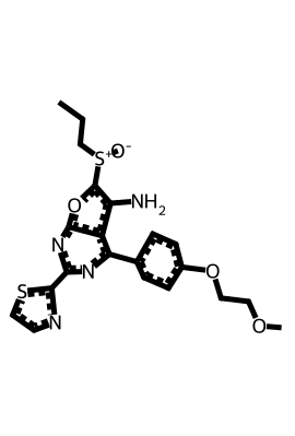 CCC[S+]([O-])c1oc2nc(-c3nccs3)nc(-c3ccc(OCCOC)cc3)c2c1N